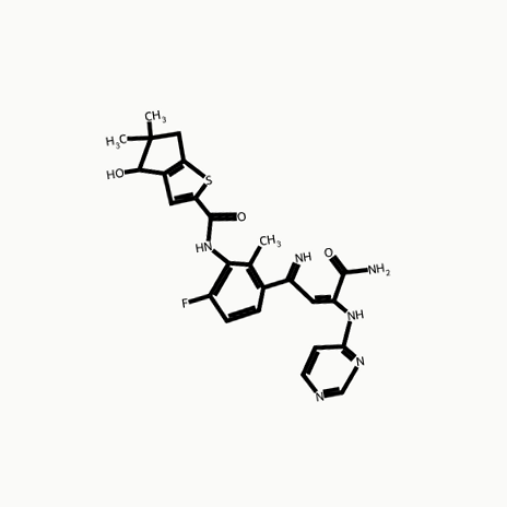 Cc1c(C(=N)/C=C(/Nc2ccncn2)C(N)=O)ccc(F)c1NC(=O)c1cc2c(s1)CC(C)(C)C2O